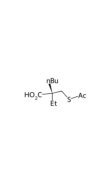 CCCC[C@](CC)(CSC(C)=O)C(=O)O